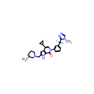 C[C@H]1CCCN(Cc2cc3c(C4CC4)cn(-c4cccc(C(F)(F)c5nncn5C)c4)c(=O)c3[nH]2)C1